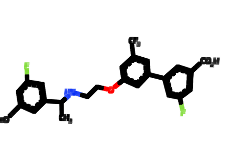 COc1cc(F)cc(C(C)NCCOc2cc(-c3cc(F)cc(C(=O)O)c3)cc(C(F)(F)F)c2)c1